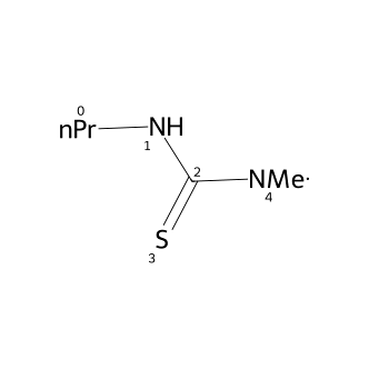 CCCNC(=S)[N]C